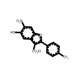 CCOC(=O)c1c(-c2ccc(C(F)(F)F)cc2)oc2cc([N+](=O)[O-])c(O)cc12